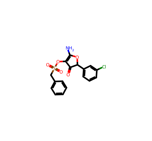 NC1=C(OS(=O)(=O)Cc2ccccc2)C(=O)C(c2cccc(Cl)c2)O1